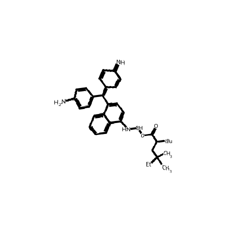 CCC(C)(C)CC(C(=O)OBNc1ccc(C(=C2C=CC(=N)C=C2)c2ccc(N)cc2)c2ccccc12)C(C)(C)C